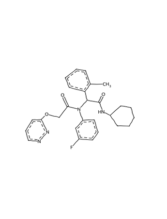 Cc1ccccc1C(C(=O)NC1CCCCC1)N(C(=O)COc1cccnn1)c1cccc(F)c1